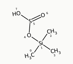 C[Si](C)(C)OS(=O)O